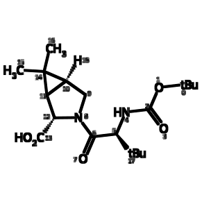 CC(C)(C)OC(=O)N[C@H](C(=O)N1C[C@H]2C([C@H]1C(=O)O)C2(C)C)C(C)(C)C